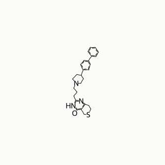 O=c1[nH]c(CCCN2CCC(c3ccc(-c4ccccc4)cc3)CC2)nc2c1CSCC2